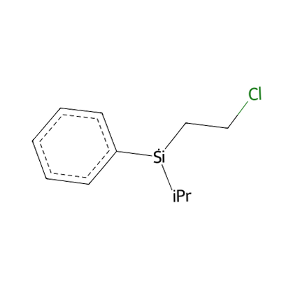 CC(C)[Si](CCCl)c1ccccc1